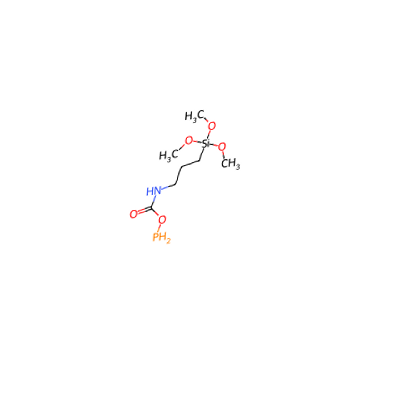 CO[Si](CCCNC(=O)OP)(OC)OC